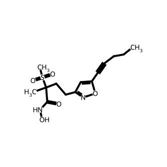 CCCC#Cc1cc(CCC(C)(C(=O)NO)S(C)(=O)=O)no1